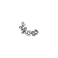 NC(=O)N1C[C@@H]2C[C@H]1CN2Cc1ccc(C2COc3cccnc3O2)cc1